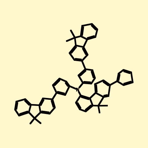 CC1(C)c2ccccc2-c2cc(-c3cccc(N(c4cccc(-c5ccc6c(c5)-c5ccccc5C6(C)C)c4)c4cccc5c4-c4ccc(-c6ccccc6)cc4C5(C)C)c3)ccc21